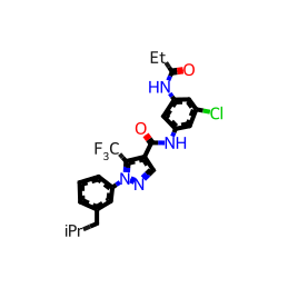 CCC(=O)Nc1cc(Cl)cc(NC(=O)c2cnn(-c3cccc(CC(C)C)c3)c2C(F)(F)F)c1